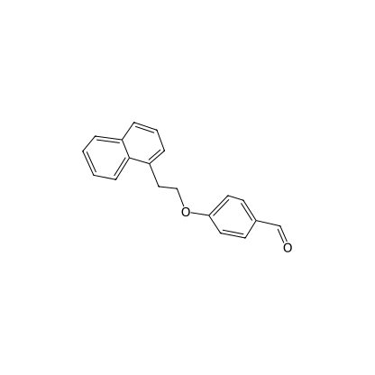 O=Cc1ccc(OCCc2cccc3ccccc23)cc1